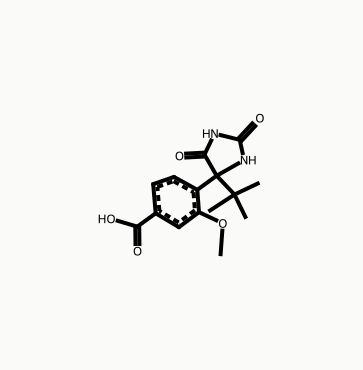 COc1cc(C(=O)O)ccc1C1(C(C)(C)C)NC(=O)NC1=O